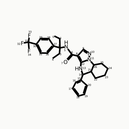 CCC(CC)(NC(=O)c1cnn2c1NC(c1ccccc1)C1CCCCC12)c1ccc(C(F)(F)F)cc1